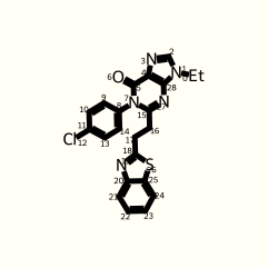 CCn1cnc2c(=O)n(-c3ccc(Cl)cc3)c(CCc3nc4ccccc4s3)nc21